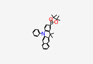 CC1(C)c2cc(B3OC(C)(C)C(C)(C)O3)ccc2N(c2ccccc2)c2cc3ccccc3cc21